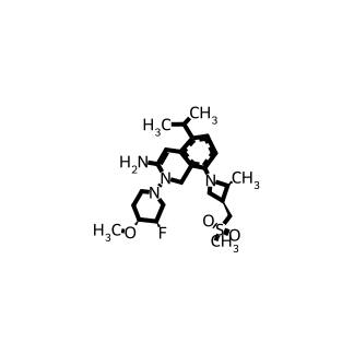 CO[C@@H]1CCN(N2Cc3c(N4C[C@H](CS(C)(=O)=O)[C@H]4C)ccc(C(C)C)c3C=C2N)C[C@@H]1F